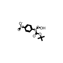 CC(C)(C)OC(=O)N(OO)c1ccc([N+](=O)[O-])cc1